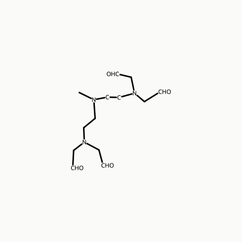 CN(CCN(CC=O)CC=O)CCN(CC=O)CC=O